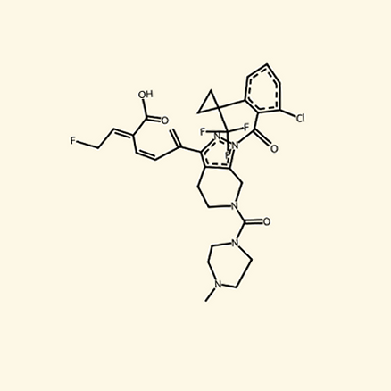 C=C(/C=C\C(=C/CF)C(=O)O)c1nn(C(=O)c2c(Cl)cccc2C2(C(F)(F)F)CC2)c2c1CCN(C(=O)N1CCN(C)CC1)C2